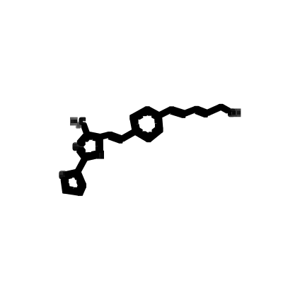 Cc1oc(-c2ccco2)nc1C=Cc1ccc(C=CC=CCO)cc1